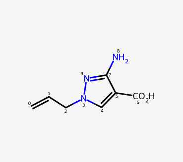 C=CCn1cc(C(=O)O)c(N)n1